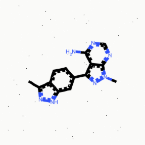 Cc1n[nH]c2cc(-c3nn(C)c4ncnc(N)c34)ccc12